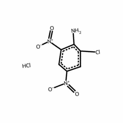 Cl.Nc1c(Cl)cc([N+](=O)[O-])cc1[N+](=O)[O-]